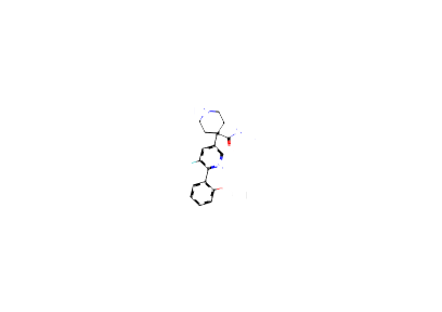 COc1ccccc1-c1ncc(C2(C(N)=O)CCNCC2)cc1F